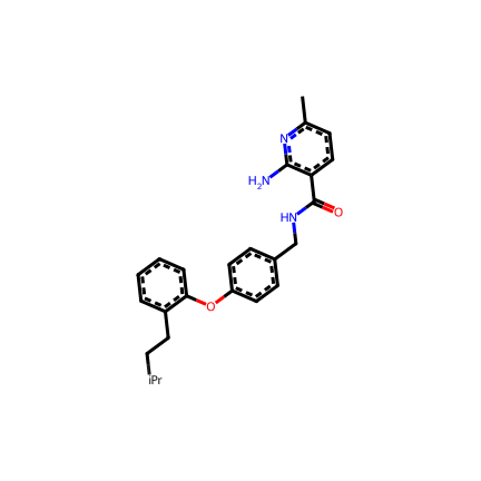 Cc1ccc(C(=O)NCc2ccc(Oc3ccccc3CCC(C)C)cc2)c(N)n1